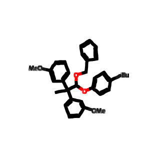 CCC(C)c1ccc(OC(OCc2ccccc2)C(C)(c2cccc(OC)c2)c2cccc(OC)c2)cc1